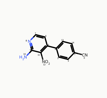 N#Cc1ccc(-c2ccnc(N)c2[N+](=O)[O-])cc1